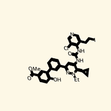 CCN1N=C(c2cccc(-c3cc(C(=O)OC)ccc3O)c2)C=C(NC(=O)Nc2c(Cl)cncc2CCI)C1=C1CC1